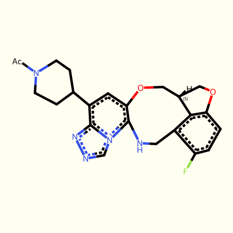 CC(=O)N1CCC(c2cc3c(n4cnnc24)NCc2c(F)ccc4c2[C@@H](CO4)CO3)CC1